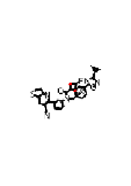 N#Cc1cc2sccc2nc1-c1cccc(N(CC23CCC(c4nc(C5CC5)no4)(CC2)CC3)C(=O)C23CC(F)(C2)C3)c1